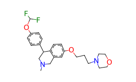 CN1Cc2cc(OCCCN3CCOCC3)ccc2C(c2ccc(OC(F)F)cc2)C1